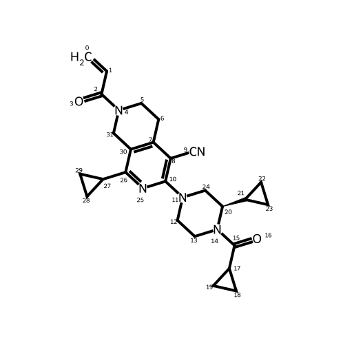 C=CC(=O)N1CCc2c(C#N)c(N3CCN(C(=O)C4CC4)[C@H](C4CC4)C3)nc(C3CC3)c2C1